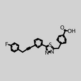 O=C(O)c1ccc(Cc2nnc(-c3cccc(C#CCc4ccc(F)cc4)c3)s2)cc1